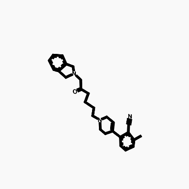 Cc1cccc(C2=CCN(CCCCC(=O)CN3Cc4ccccc4C3)CC2)c1C#N